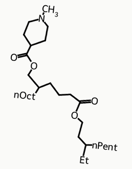 CCCCCCCCC(CCCC(=O)OCCC(CC)CCCCC)COC(=O)C1CCN(C)CC1